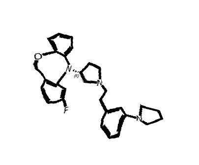 Fc1ccc2c(c1)N([C@@H]1CCN(CCc3cccc(N4CCCC4)c3)C1)c1ccccc1OC2